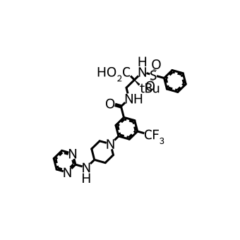 CC(C)(C)[C@](CNC(=O)c1cc(N2CCC(Nc3ncccn3)CC2)cc(C(F)(F)F)c1)(NS(=O)(=O)c1ccccc1)C(=O)O